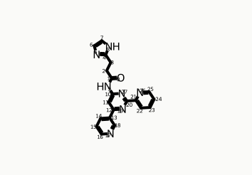 O=C(CCc1ncc[nH]1)Nc1cc(-c2cccnc2)nc(-c2ccccn2)n1